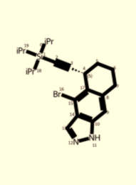 CC(C)[Si](C#C[C@@H]1CCCc2cc3[nH]ncc3c(Br)c21)(C(C)C)C(C)C